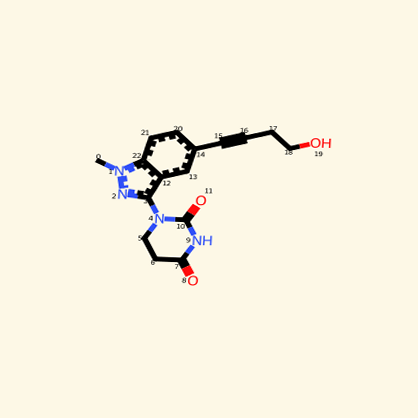 Cn1nc(N2CCC(=O)NC2=O)c2cc(C#CCCO)ccc21